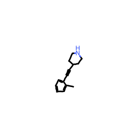 Cc1ccccc1C#CC1CCNCC1